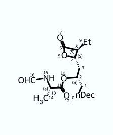 CCCCCCCCCCC[C@@H](C[C@@H]1OC(=O)[C@H]1CC)OC(=O)[C@H](C)NC=O